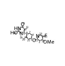 COc1cc(Oc2ccc(C3=C(C)C(=O)NC(O)N3C)c(C)c2)ncc1F